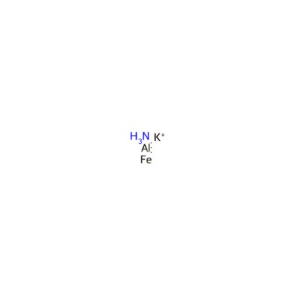 N.[Al].[Fe].[K+]